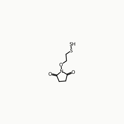 O=C1CCC(=O)N1OCCSS